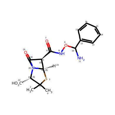 CC1(C)S[C@@H]2[C@H](C(=O)NOC(N)c3ccccc3)C(=O)N2[C@H]1C(=O)O